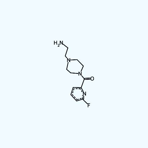 NCCN1CCN(C(=O)c2cccc(F)n2)CC1